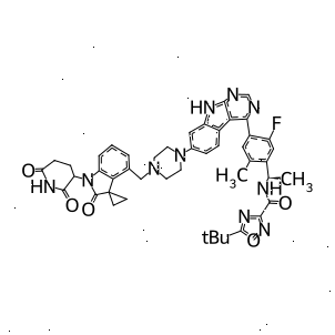 Cc1cc(-c2ncnc3[nH]c4cc(N5CCN(Cc6cccc7c6C6(CC6)C(=O)N7C6CCC(=O)NC6=O)CC5)ccc4c23)c(F)cc1[C@@H](C)NC(=O)c1noc(C(C)(C)C)n1